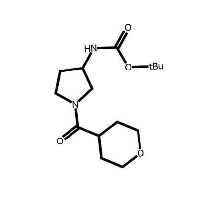 CC(C)(C)OC(=O)NC1CCN(C(=O)C2CCOCC2)C1